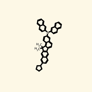 CC1(C)c2cc3cc(C4CCCC4)ccc3cc2-c2ccc3cc(N(c4ccc5ccccc5c4)c4ccc5ccccc5c4)ccc3c21